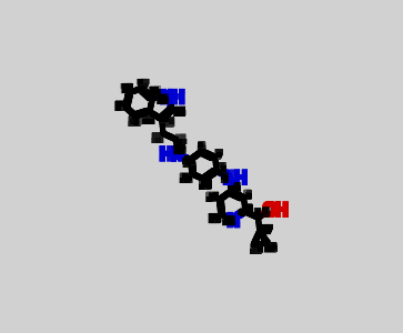 OC(c1cc(Nc2ccc(NCCc3c[nH]c4ccccc34)cc2)ccn1)C1CC1